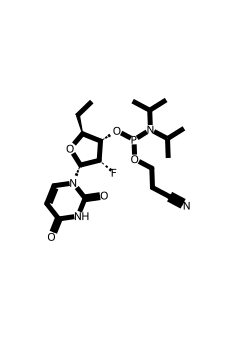 CC[C@@H]1O[C@@H](n2ccc(=O)[nH]c2=O)[C@@H](F)[C@H]1OP(OCCC#N)N(C(C)C)C(C)C